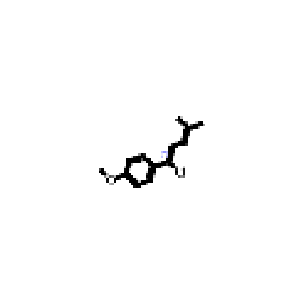 COc1ccc(/C(Cl)=C/C=C(C)C)cc1